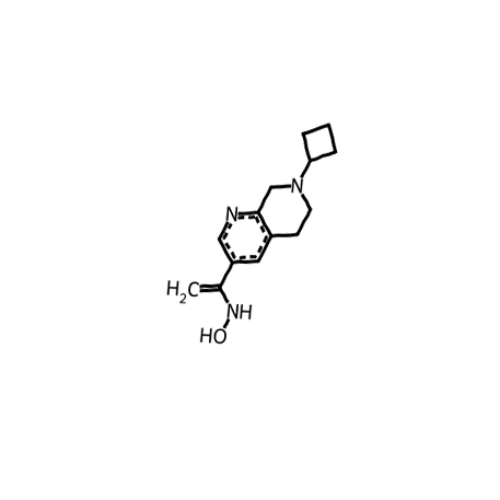 C=C(NO)c1cnc2c(c1)CCN(C1CCC1)C2